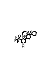 COC1(C2CCCCC2)CCC2=C3CNCC(C(=O)C(F)(F)F)C3N3CC=CSC1=C23